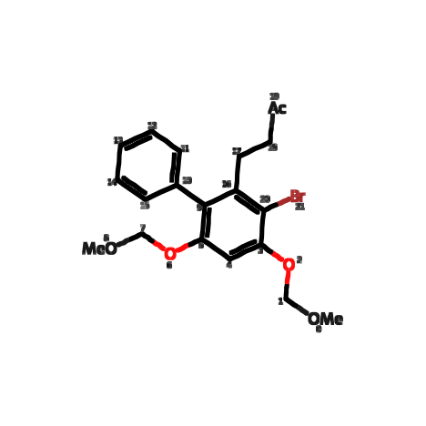 COCOc1cc(OCOC)c(-c2ccccc2)c(CCC(C)=O)c1Br